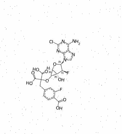 Nc1nc(Cl)nc2c1ncn2[C@@H]1O[C@@H]2C(OC(Cc3ccc(C(=O)O)c(F)c3)(C(=O)O)C(=O)O)[C@]2(O)[C@@H]1F